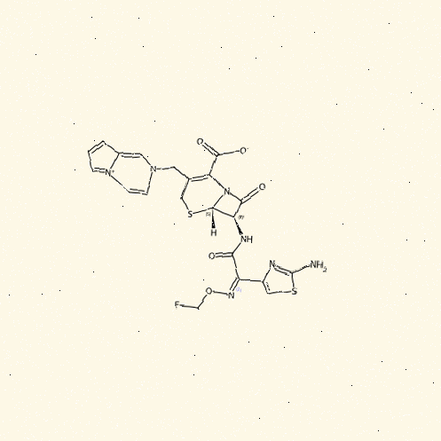 Nc1nc(/C(=N/OCF)C(=O)N[C@@H]2C(=O)N3C(C(=O)[O-])=C(Cn4cc[n+]5cccc-5c4)CS[C@@H]23)cs1